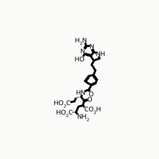 Nc1nc(O)c2c(n1)NCC2CCc1ccc(C(=O)N[C@@H](CCC(=O)O)C(=O)C(C[C@H](N)C(=O)O)C(=O)O)cc1